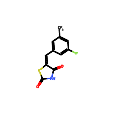 O=C1NC(=O)/C(=C\c2cc(F)cc(C(F)(F)F)c2)S1